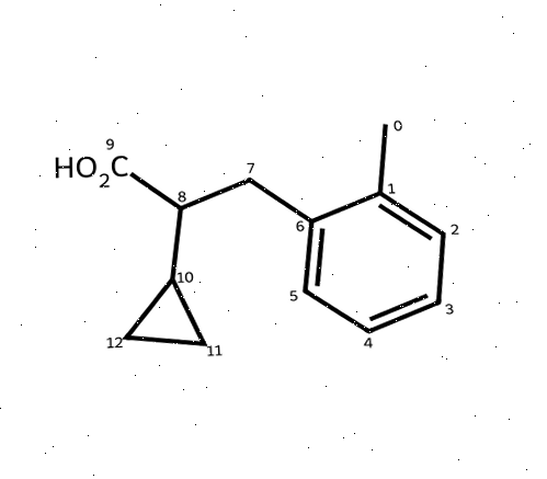 Cc1ccccc1CC(C(=O)O)C1CC1